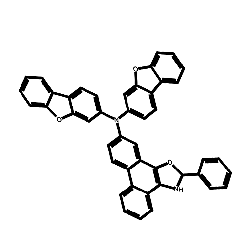 c1ccc(C2Nc3c(c4cc(N(c5ccc6c(c5)oc5ccccc56)c5ccc6c(c5)oc5ccccc56)ccc4c4ccccc34)O2)cc1